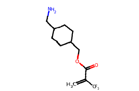 C=C(C(=O)OCC1CCC(CN)CC1)C(F)(F)F